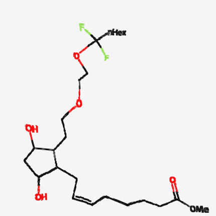 CCCCCCC(F)(F)OCCOCCC1C(O)CC(O)C1C/C=C\CCCCC(=O)OC